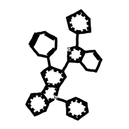 C1#CCC(c2cc3c4ccccc4n(-c4ccccc4)c3cc2-c2sc(-c3ccccc3)c3c2CCC=C3)=CC=C1